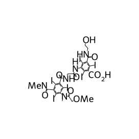 CNC(=O)c1c(I)c(C(=O)NCC(=O)Nc2c(I)c(C(=O)O)c(I)c(C(=O)NCCO)c2I)c(I)c(N(C)C(=O)COC)c1I